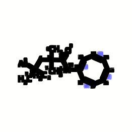 CC(=O)C(C)(C)CC(C)(C)C(=O)NC1=C/C=C\C=C/C=C\1